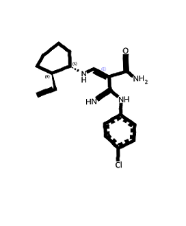 C=C[C@H]1CCCC[C@@H]1N/C=C(\C(=N)Nc1ccc(Cl)cc1)C(N)=O